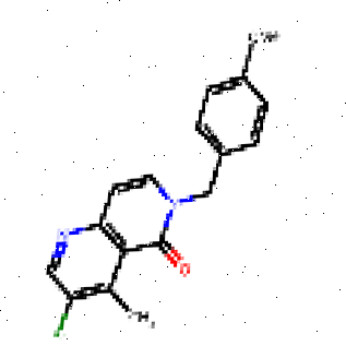 COc1ccc(Cn2ccc3ncc(Br)c(C)c3c2=O)cc1